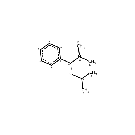 CC(C)C[C@H](c1ccccc1)N(C)C